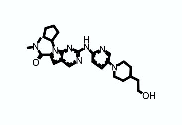 CN(C)C(=O)c1cc2cnc(Nc3ccc(N4CCC(CCO)CC4)cn3)nc2n1C1CCCC1